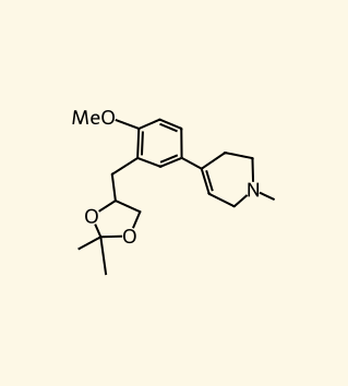 COc1ccc(C2=CCN(C)CC2)cc1CC1COC(C)(C)O1